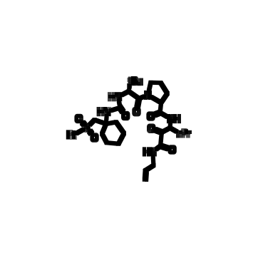 C=CCNC(=O)C(=O)C(CCC)NC(=O)C1CCCN1C(=O)[C@@H](NC(=O)NC1(CS(=O)(=O)CC)CCCCC1)C(C)(C)C